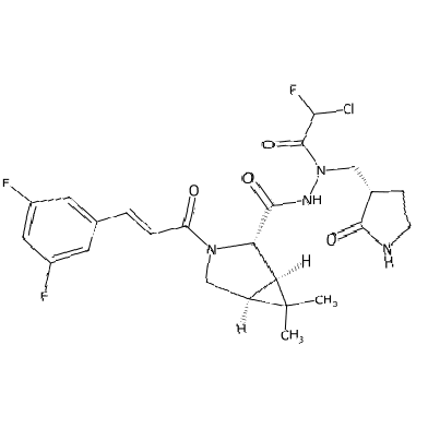 CC1(C)[C@@H]2[C@@H](C(=O)NN(C[C@@H]3CCNC3=O)C(=O)C(F)Cl)N(C(=O)/C=C/c3cc(F)cc(F)c3)C[C@@H]21